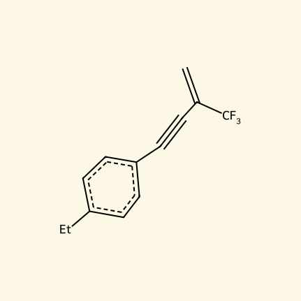 C=C(C#Cc1ccc(CC)cc1)C(F)(F)F